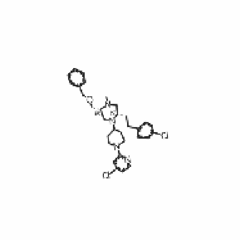 CN1C[C@H](CCc2ccc(Cl)cc2)N(C2CCN(c3cc(Cl)ccn3)CC2)C[C@@H]1COCc1ccccc1